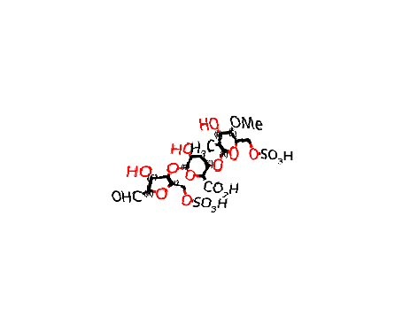 CO[C@@H]1C(COS(=O)(=O)O)O[C@@H](O[C@H]2CC(O)[C@H](OC3[C@@H](COS(=O)(=O)O)O[C@@H](C=O)[C@H]3O)OC2C(=O)O)C(C)[C@H]1O